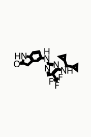 O=C1Cc2cc(Nc3ncc(C(F)(F)F)c(NC(C4CC4)C4CC4)n3)ccc2N1